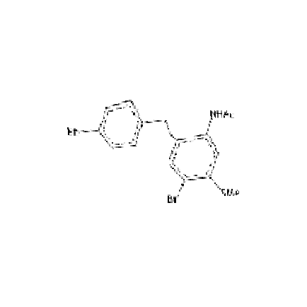 CCc1ccc(Cc2cc(Br)c(SC)cc2NC(C)=O)cc1